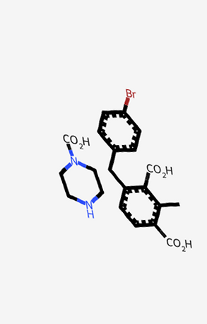 Cc1c(C(=O)O)ccc(Cc2ccc(Br)cc2)c1C(=O)O.O=C(O)N1CCNCC1